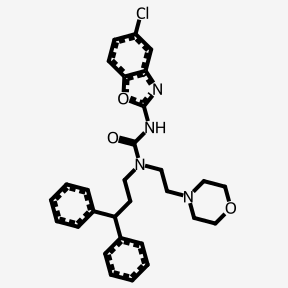 O=C(Nc1nc2cc(Cl)ccc2o1)N(CCC(c1ccccc1)c1ccccc1)CCN1CCOCC1